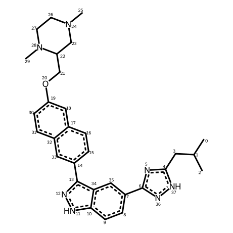 CC(C)Cc1nc(-c2ccc3[nH]nc(-c4ccc5cc(OCC6CN(C)CCN6C)ccc5c4)c3c2)n[nH]1